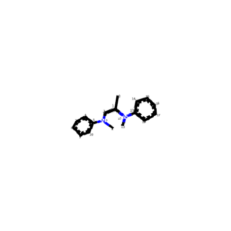 CC(CN(C)c1ccccc1)N(C)c1ccccc1